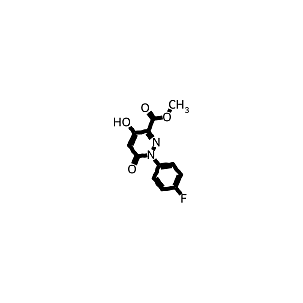 COC(=O)c1nn(-c2ccc(F)cc2)c(=O)cc1O